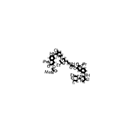 CC[C@@H]1CN(c2ncc(Cl)c(Nc3ccc4c(c3)cc(OCC(=O)NC)c(=O)n4C(C)C)n2)C[C@@H](CCNC(=O)COc2cc3cc(Nc4nc(N5C[C@H](CC)O[C@H](C)C5)ncc4Cl)ccc3n(C(C)C)c2=O)O1